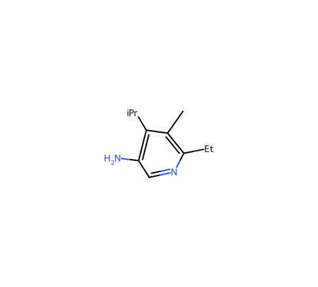 CCc1ncc(N)c(C(C)C)c1C